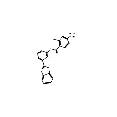 CS(=O)(=O)c1ccc(C(=O)Nc2cccc(-c3nc4ccccc4s3)c2)c(Cl)c1